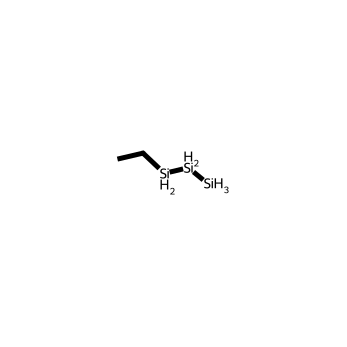 CC[SiH2][SiH2][SiH3]